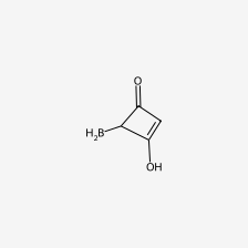 BC1C(=O)C=C1O